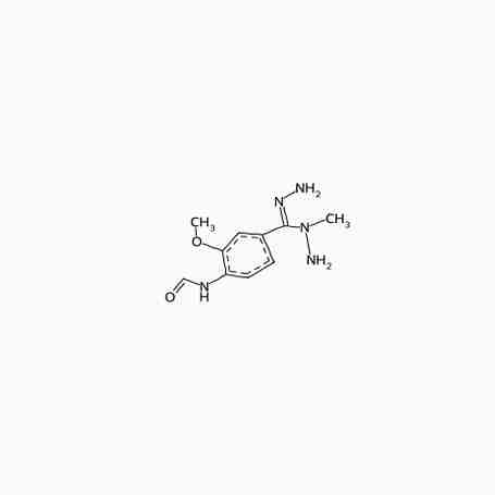 COc1cc(/C(=N/N)N(C)N)ccc1NC=O